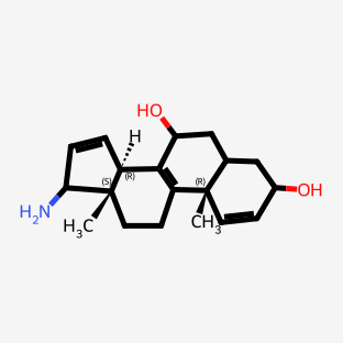 C[C@]12C=CC(O)CC1CC(O)C1=C2CC[C@]2(C)C(N)C=C[C@@H]12